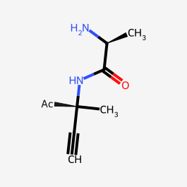 C#C[C@@](C)(NC(=O)[C@H](C)N)C(C)=O